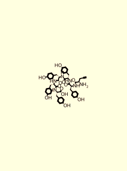 C#CC[C@H](N)C(=O)N[C@@H](Cc1ccc(O)cc1)C(=O)N[C@@H](Cc1ccc(O)cc1)C(=O)N[C@@H](Cc1ccc(O)cc1)C(=O)N[C@@H](Cc1ccc(O)cc1)C(=O)N[C@@H](Cc1ccc(O)cc1)C(=O)O